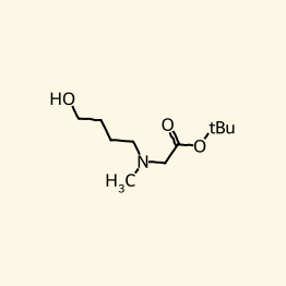 CN(CCCCO)CC(=O)OC(C)(C)C